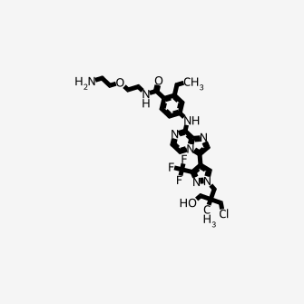 CCc1cc(Nc2nccn3c(-c4cn(CC(C)(CO)CCl)nc4C(F)(F)F)cnc23)ccc1C(=O)NCCOCCN